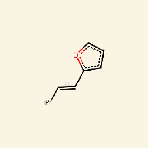 CC(C)/C=C/c1ccco1